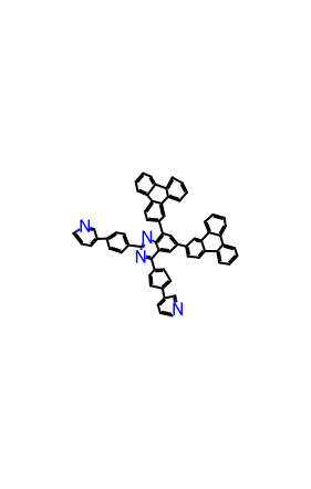 c1cncc(-c2ccc(-c3nc(-c4ccc(-c5cccnc5)cc4)c4cc(-c5ccc6c7ccccc7c7ccccc7c6c5)cc(-c5ccc6c7ccccc7c7ccccc7c6c5)c4n3)cc2)c1